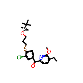 CCc1ccc(C(=O)c2ccc(SCCCO[Si](C)(C)C(C)(C)C)c(Cl)c2)nc1OC